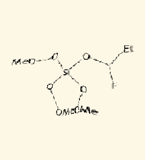 CCC(F)O[Si](OOC)(OOC)OOC